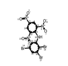 O=[N+]([O-])c1cc([N+](=O)[O-])c(Nc2cc(Br)cc(Br)c2Br)c([N+](=O)[O-])c1